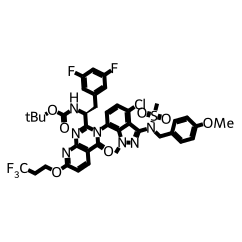 COc1ccc(CN(c2nn(C)c3c(-n4c([C@H](Cc5cc(F)cc(F)c5)NC(=O)OC(C)(C)C)nc5nc(OCCC(F)(F)F)ccc5c4=O)ccc(Cl)c23)S(C)(=O)=O)cc1